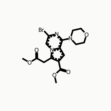 COC(=O)Cc1c(C(=O)OC)cc2c(N3CCOCC3)nc(Br)cn12